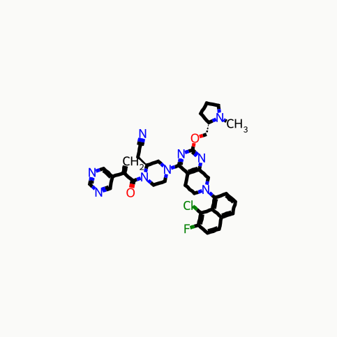 C=C(C(=O)N1CCN(c2nc(OC[C@@H]3CCCN3C)nc3c2CCN(c2cccc4ccc(F)c(Cl)c24)C3)C[C@@H]1CC#N)c1cncnc1